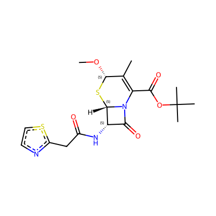 CO[C@H]1S[C@H]2[C@@H](NC(=O)Cc3nccs3)C(=O)N2C(C(=O)OC(C)(C)C)=C1C